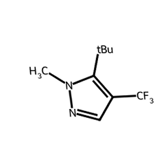 Cn1ncc(C(F)(F)F)c1C(C)(C)C